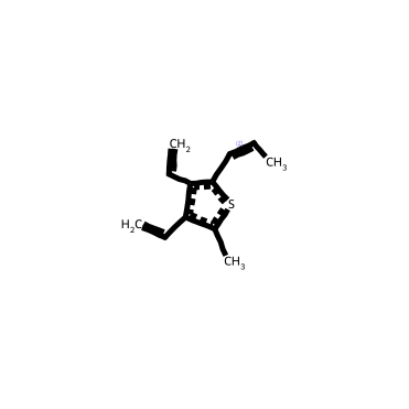 C=Cc1c(C)sc(/C=C\C)c1C=C